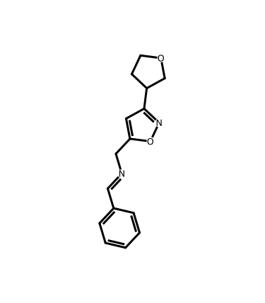 C(=NCc1cc(C2CCOC2)no1)c1ccccc1